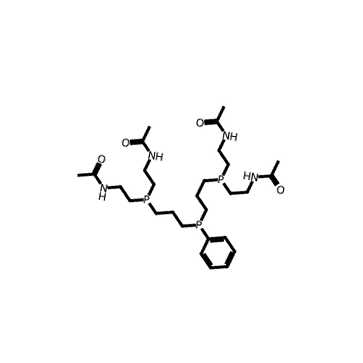 CC(=O)NCCP(CCCP(CCCP(CCNC(C)=O)CCNC(C)=O)c1ccccc1)CCNC(C)=O